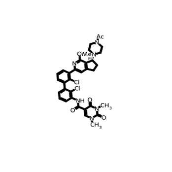 COc1nc(-c2cccc(-c3cccc(NC(=O)c4cn(C)c(=O)n(C)c4=O)c3Cl)c2Cl)cc2c1[C@H](N1CCN(C(C)=O)CC1)CC2